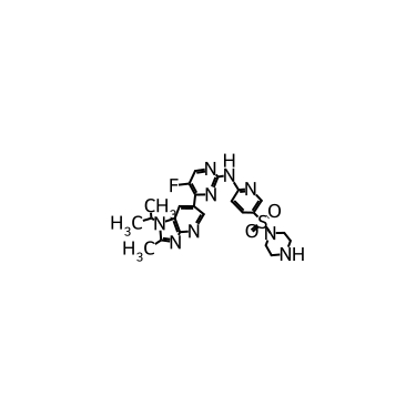 Cc1nc2ncc(-c3nc(Nc4ccc(S(=O)(=O)N5CCNCC5)cn4)ncc3F)cc2n1C(C)C